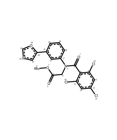 CC(C)(C)OC(=O)CN(C(=O)c1c(Cl)cc(Cl)cc1Cl)c1cccc(-c2cnco2)c1